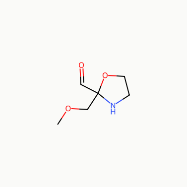 COCC1(C=O)NCCO1